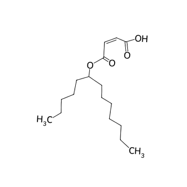 CCCCCCCC(CCCCC)OC(=O)/C=C\C(=O)O